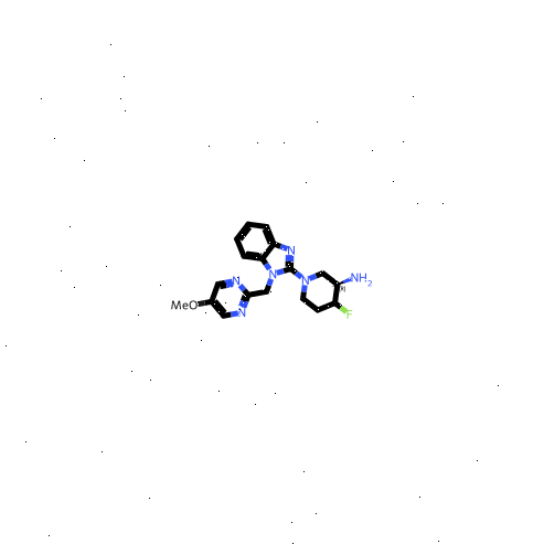 COc1cnc(Cn2c(N3CCC(F)[C@H](N)C3)nc3ccccc32)nc1